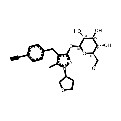 C#Cc1ccc(Cc2c(O[C@@H]3O[C@H](CO)[C@@H](O)[C@H](O)[C@H]3O)nn(C3CCOC3)c2C)cc1